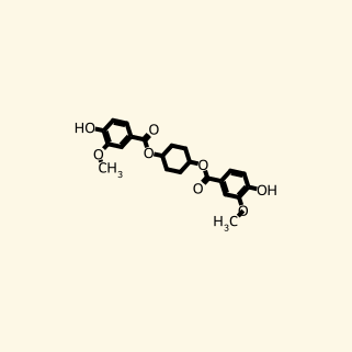 COc1cc(C(=O)OC2CCC(OC(=O)c3ccc(O)c(OC)c3)CC2)ccc1O